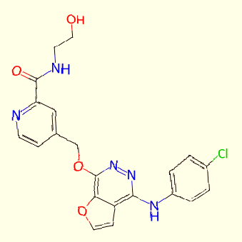 O=C(NCCO)c1cc(COc2nnc(Nc3ccc(Cl)cc3)c3ccoc23)ccn1